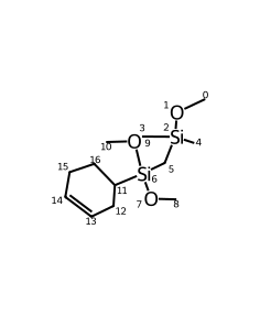 CO[Si](C)(C)C[Si](OC)(OC)C1CC=CCC1